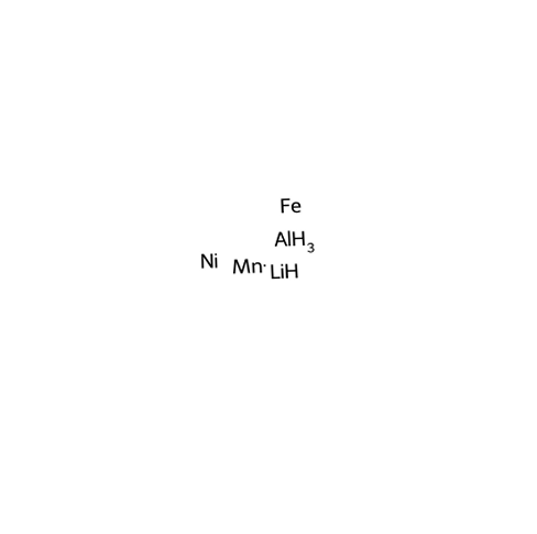 [AlH3].[Fe].[LiH].[Mn].[Ni]